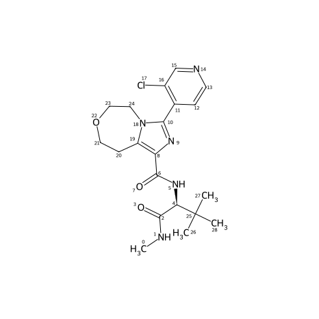 CNC(=O)[C@@H](NC(=O)c1nc(-c2ccncc2Cl)n2c1CCOCC2)C(C)(C)C